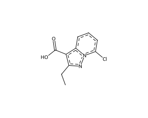 CCc1nn2c(Cl)cccc2c1C(=O)O